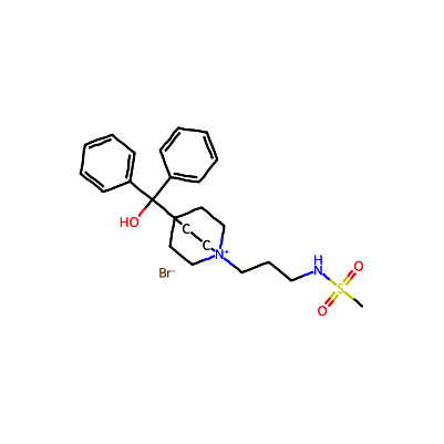 CS(=O)(=O)NCCC[N+]12CCC(C(O)(c3ccccc3)c3ccccc3)(CC1)CC2.[Br-]